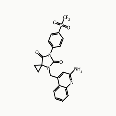 Nc1cc(CN2C(=O)N(c3ccc(S(=O)(=O)C(F)(F)F)cc3)C(=O)C23CC3)c2ccccc2n1